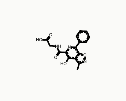 Cc1noc2c(-c3ccccc3)nc(C(=O)NCC(=O)O)c(O)c12